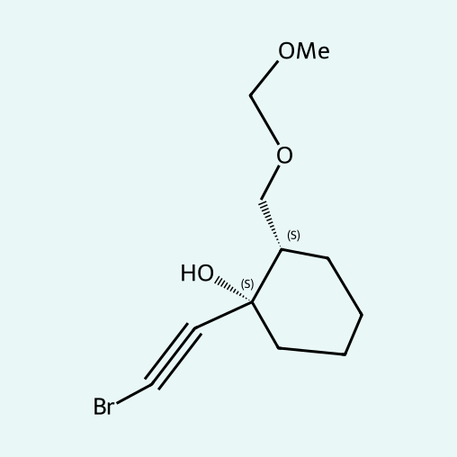 COCOC[C@@H]1CCCC[C@@]1(O)C#CBr